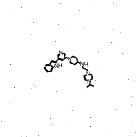 CC(C)N1CCN(CCNC2CCN(c3cncc(-c4cc5ccccc5[nH]4)c3)CC2)CC1